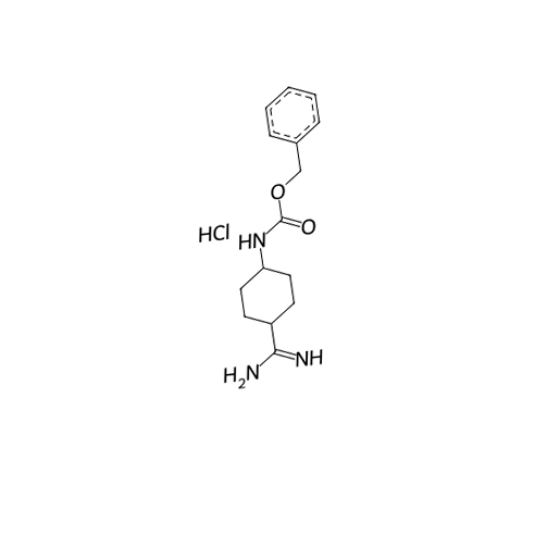 Cl.N=C(N)C1CCC(NC(=O)OCc2ccccc2)CC1